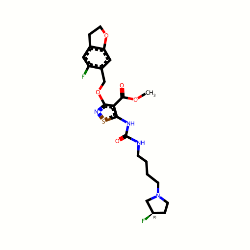 COC(=O)c1c(OCc2cc3c(cc2F)CCO3)nsc1NC(=O)NCCCCN1CC[C@@H](F)C1